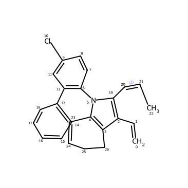 C=Cc1c2c(n(-c3ccc(Cl)cc3-c3ccccc3)c1/C=C\C)C=CCC2